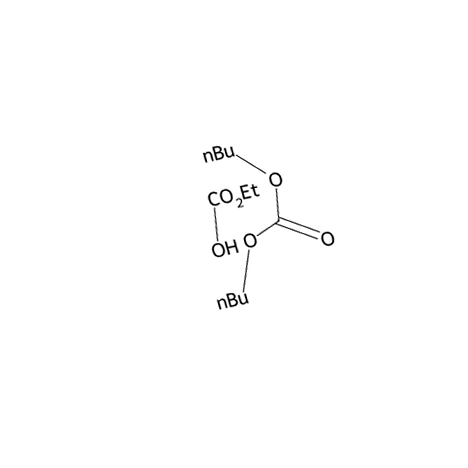 CCCCOC(=O)OCCCC.CCOC(=O)O